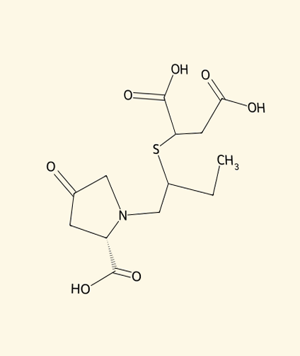 CCC(CN1CC(=O)C[C@H]1C(=O)O)SC(CC(=O)O)C(=O)O